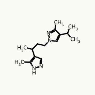 Cc1nn(CCC(C)c2cn[nH]c2C)cc1C(C)C